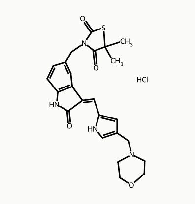 CC1(C)SC(=O)N(Cc2ccc3c(c2)C(=Cc2cc(CN4CCOCC4)c[nH]2)C(=O)N3)C1=O.Cl